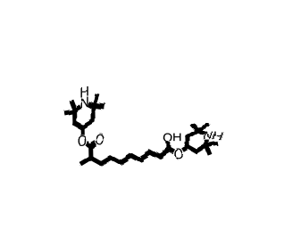 CC(CCCCCCCC(O)OC1CC(C)(C)NC(C)(C)C1)C(=O)OC1CC(C)(C)NC(C)(C)C1